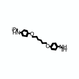 CC(C)Nc1ccc(OCCCCCCOc2ccc(NC(C)C)cc2)cc1